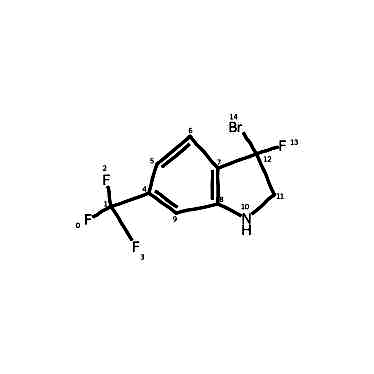 FC(F)(F)c1ccc2c(c1)NCC2(F)Br